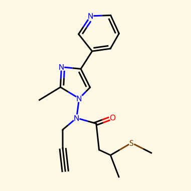 C#CCN(C(=O)CC(C)SC)n1cc(-c2cccnc2)nc1C